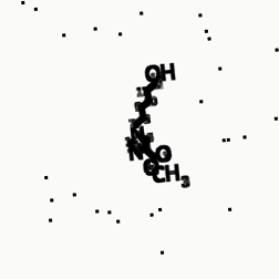 COC(=O)c1cn(CCCCCCO)cn1